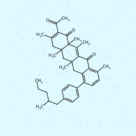 CCCC(C)Cc1ccc(-c2ccc(C)c3c2CC2(C)CC4(C)CC(C)=C(C(C)=O)C(=O)C4(C)C(C)=C2C3=O)cc1